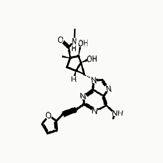 CNC(=O)[C@@]1(C)C[C@H]2[C@@H](n3cnc4c(NC)nc(C#Cc5ccco5)nc43)[C@@]2(O)[C@@H]1O